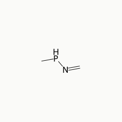 C=NPC